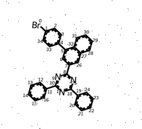 Brc1ccc(-c2cc(-c3nc(-c4ccccc4)nc(-c4ccccc4)n3)cc3ccccc23)cc1